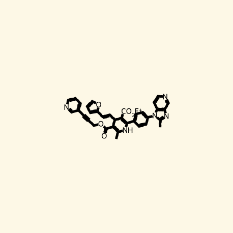 CCOC(=O)C1=C(c2ccc(-n3c(C)nc4cnccc43)cc2)NC(C)=C(C(=O)OCC#Cc2cccnc2)C1/C=C/c1ccco1